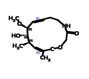 CO[C@H]1/C=C/CCNC(=O)COC/C(C)=C\[C@@H](C)[C@@H]1O